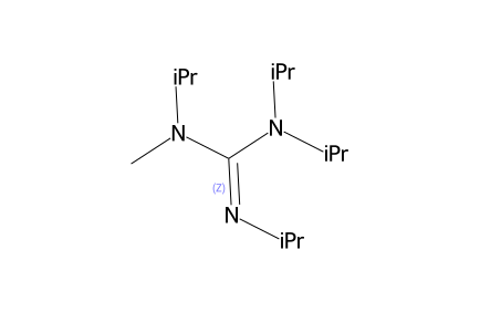 CC(C)/N=C(/N(C)C(C)C)N(C(C)C)C(C)C